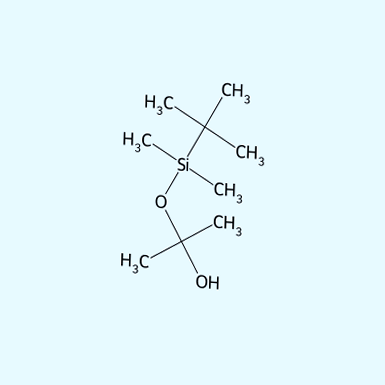 CC(C)(O)O[Si](C)(C)C(C)(C)C